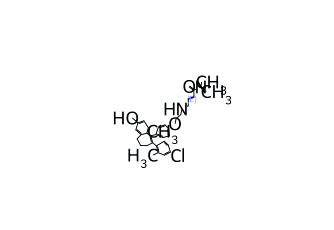 Cc1cc(Cl)ccc1C1=C(c2ccc(OCCNC/C=C/C(=O)N(C)C)cc2)C2(C)CC=C(O)C=C2CCC1